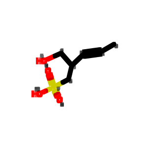 CC#CC(CO)CS(=O)(=O)O